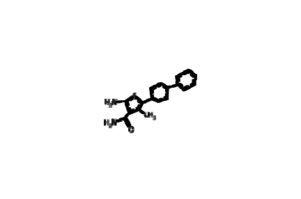 Cc1c(-c2ccc(-c3ccccc3)cc2)sc(N)c1C(N)=O